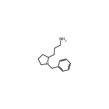 NCCCC1CCCN1Cc1ccccc1